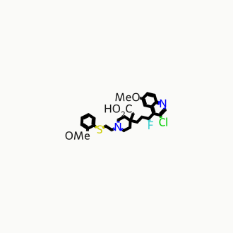 COc1ccc2ncc(Cl)c(C(F)CCC3(CC(=O)O)CCN(CCSc4ccccc4OC)CC3)c2c1